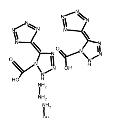 NN.NN.O=C(O)N1NN=NC1=C1N=NN=N1.O=C(O)N1NN=NC1=C1N=NN=N1